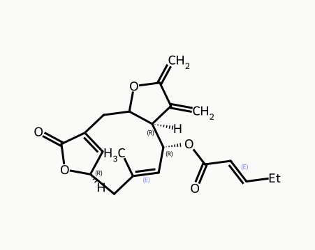 C=C1OC2CC3=C[C@@H](C/C(C)=C/[C@@H](OC(=O)/C=C/CC)[C@@H]2C1=C)OC3=O